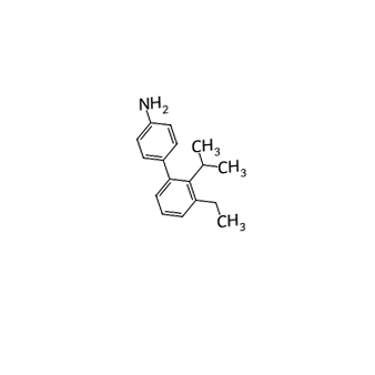 CCc1cccc(-c2ccc(N)cc2)c1C(C)C